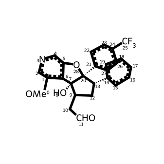 COc1cncc2c1[C@]1(O)C(CC=O)C[C@@H](c3ccccc3)[C@]1(c1ccc(C(F)(F)F)cc1)O2